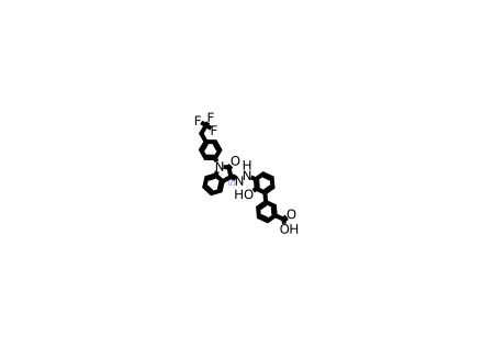 O=C(O)c1cccc(-c2cccc(N/N=C3\C(=O)N(c4ccc(CC(F)(F)F)cc4)c4ccccc43)c2O)c1